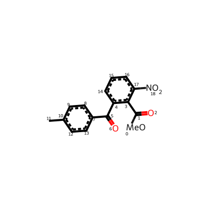 COC(=O)c1c(C(=O)c2ccc(C)cc2)cccc1[N+](=O)[O-]